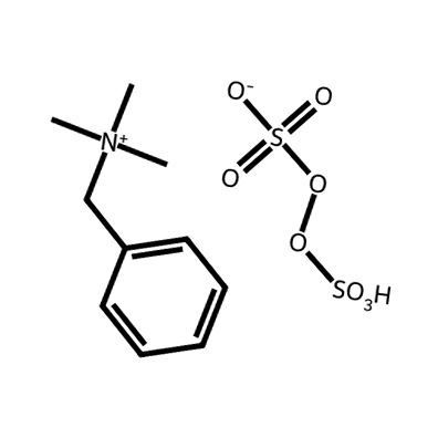 C[N+](C)(C)Cc1ccccc1.O=S(=O)([O-])OOS(=O)(=O)O